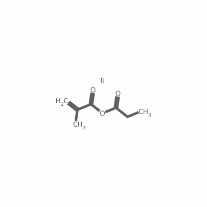 C=C(C)C(=O)OC(=O)CC.[Ti]